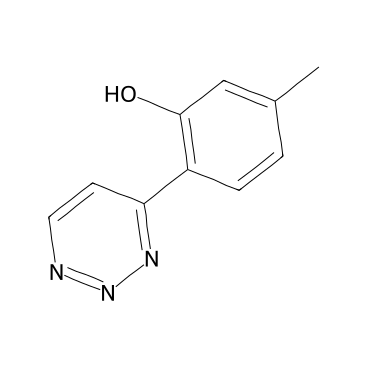 Cc1ccc(-c2ccnnn2)c(O)c1